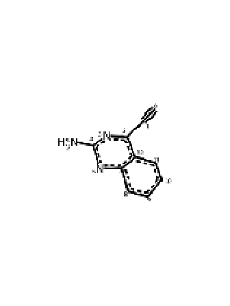 C#Cc1nc(N)nc2ccccc12